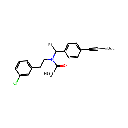 CCCCCCCCCCC#Cc1ccc(C(CC)N(CCc2cccc(Cl)c2)C(=O)C(=O)O)cc1